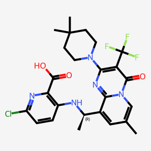 Cc1cc([C@@H](C)Nc2ccc(Cl)nc2C(=O)O)c2nc(N3CCC(C)(C)CC3)c(C(F)(F)F)c(=O)n2c1